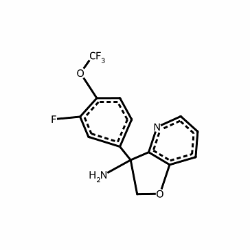 NC1(c2ccc(OC(F)(F)F)c(F)c2)COc2cccnc21